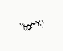 C=C(C)O/N=C/C(/C=C\C)=C/C=C\C